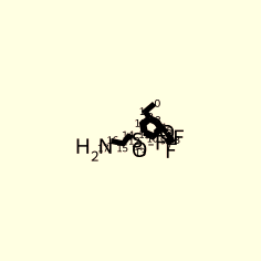 CCc1cc(OC(F)(F)F)cc([S+]([O-])CCCN)c1